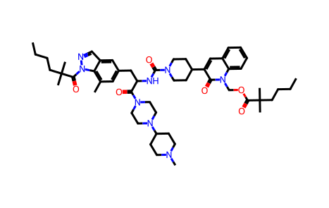 CCCCC(C)(C)C(=O)OCn1c(=O)c(C2CCN(C(=O)NC(Cc3cc(C)c4c(cnn4C(=O)C(C)(C)CCCC)c3)C(=O)N3CCN(C4CCN(C)CC4)CC3)CC2)cc2ccccc21